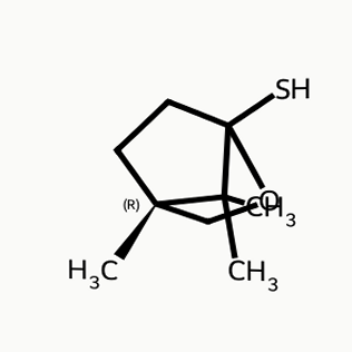 CC1(C)C2(S)CC[C@@]1(C)CO2